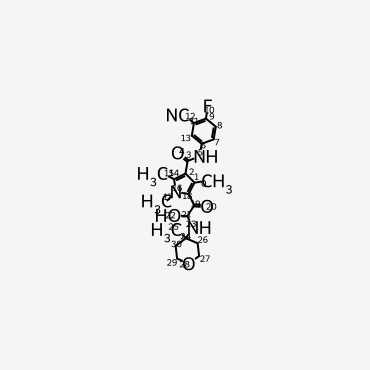 Cc1c(C(=O)Nc2ccc(F)c(C#N)c2)c(C)n(C)c1C(=O)C(O)NC1(C)CCOCC1